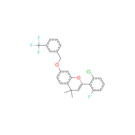 CC1(C)C=C(c2c(F)cccc2Cl)Oc2cc(OCc3cccc(C(F)(F)F)c3)ccc21